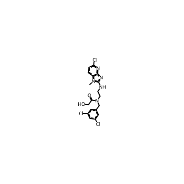 Cn1c(NCCN(Cc2cc(Cl)cc(Cl)c2)C(=O)CO)nc2nc(Cl)ccc21